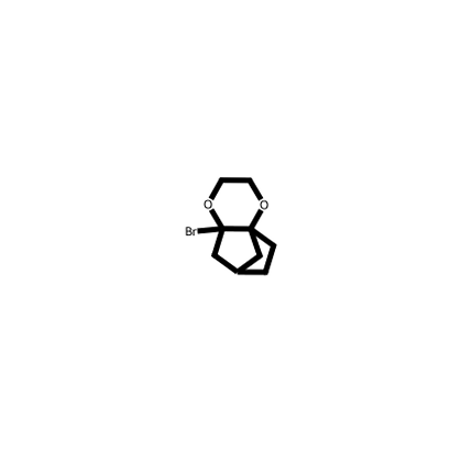 BrC12CC3CCC1(C3)OCCO2